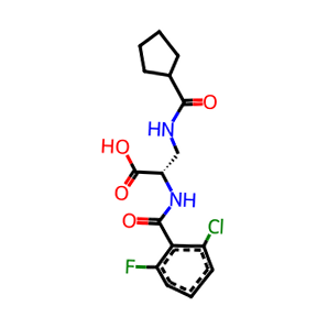 O=C(N[C@@H](CNC(=O)C1CCCC1)C(=O)O)c1c(F)cccc1Cl